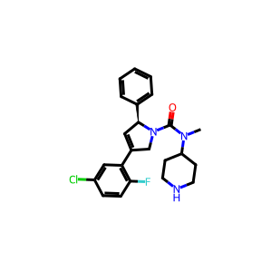 CN(C(=O)N1CC(c2cc(Cl)ccc2F)=C[C@H]1c1ccccc1)C1CCNCC1